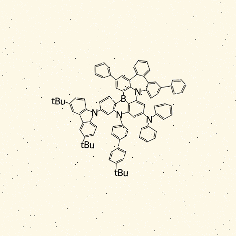 CC(C)(C)c1ccc(-c2ccc(N3c4cc(-n5c6ccc(C(C)(C)C)cc6c6cc(C(C)(C)C)ccc65)ccc4B4c5cc(-c6ccccc6)cc6c5N(c5ccc(-c7ccccc7)cc5-c5ccccc5-6)c5cc(N(c6ccccc6)c6ccccc6)cc3c54)cc2)cc1